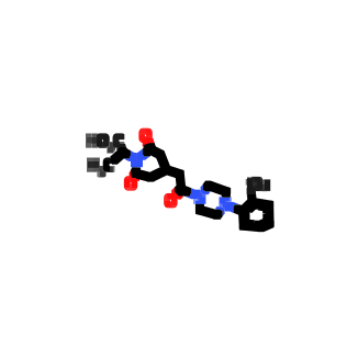 CC(C(=O)O)N1C(=O)CC(CC(=O)N2CCN(c3ccccc3C(C)(C)C)CC2)CC1=O